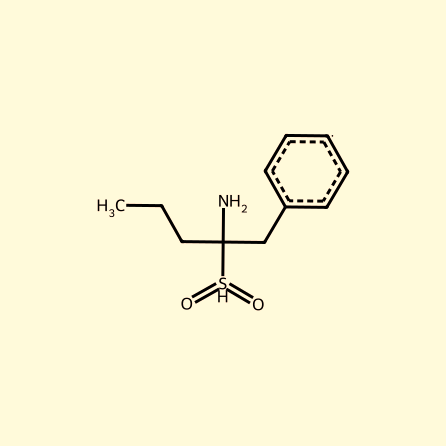 CCCC(N)(Cc1cc[c]cc1)[SH](=O)=O